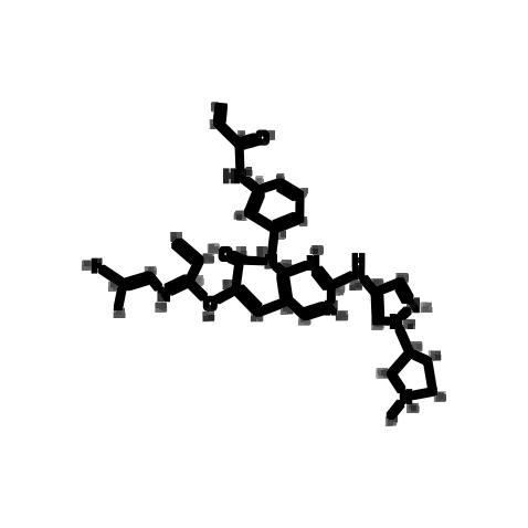 C=CC(=O)Nc1cccc(-n2c(=O)c(O/C(C=C)=N/C=C(\C)F)cc3cnc(Nc4cnn(C5CCN(C)C5)c4)nc32)c1